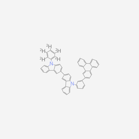 [2H]c1c([2H])c([2H])c(-n2c3ccccc3c3cc(-c4ccc5c(c4)c4ccccc4n5-c4cccc(-c5ccc6c7ccccc7c7ccccc7c6c5)c4)ccc32)c([2H])c1[2H]